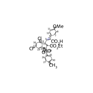 CCOC(=O)c1c(/C=C(\C(=O)O)c2ccc(OC)cc2)c2c(Cl)cc(Cl)cc2n1S(=O)(=O)c1ccc(C)cc1